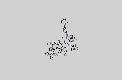 C=CCO/N=C1\CN(c2c(F)c(N)c3c(=O)c(C(=O)O)cn(C4CC4)c3c2F)CC1(C)CN.Cl